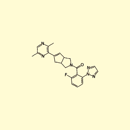 Cc1cnc(C)c(C2=CC3CN(C(=O)c4c(F)cccc4-n4nccn4)CC3C2)n1